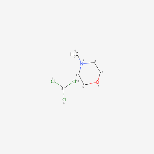 CN1CCOCC1.ClC(Cl)Cl